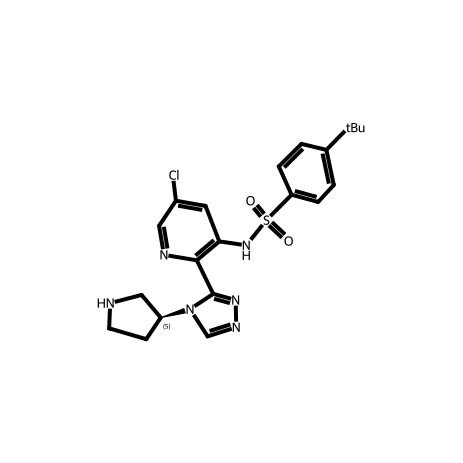 CC(C)(C)c1ccc(S(=O)(=O)Nc2cc(Cl)cnc2-c2nncn2[C@H]2CCNC2)cc1